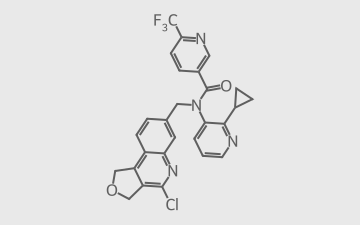 O=C(c1ccc(C(F)(F)F)nc1)N(Cc1ccc2c3c(c(Cl)nc2c1)COC3)c1cccnc1C1CC1